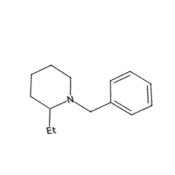 [CH2]CC1CCCCN1Cc1ccccc1